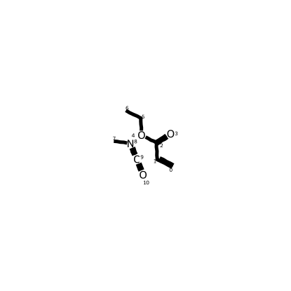 C=CC(=O)OCC.CN=C=O